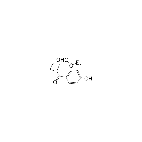 CCOC=O.O=C(c1ccc(O)cc1)C1CCC1